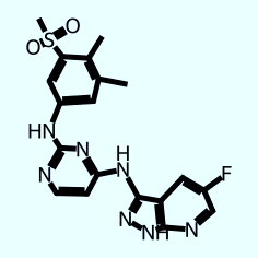 Cc1cc(Nc2nccc(Nc3n[nH]c4ncc(F)cc34)n2)cc(S(C)(=O)=O)c1C